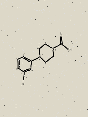 CC(C)(C)C(=O)N1CCN(c2cccc(F)c2)CC1